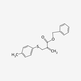 C=C(CSc1ccc(C)cc1)C(=O)OCc1ccccc1